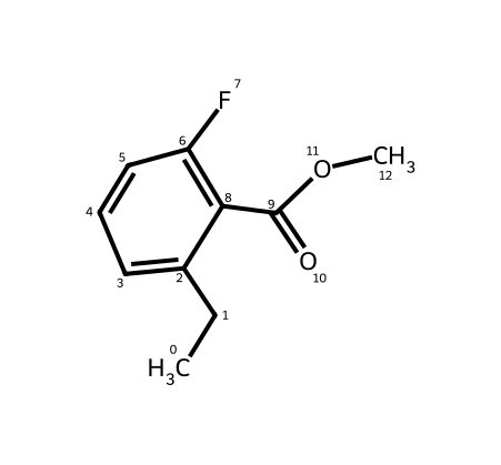 CCc1cccc(F)c1C(=O)OC